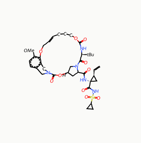 C=C[C@H]1C[C@@]1(NC(=O)C1C[C@@H]2CN1C(=O)[C@H](C(C)(C)C)NC(=O)OCCC/C=C/COc1c(OC)ccc3c1CN(C3)C(=O)O2)C(=O)NS(=O)(=O)C1CC1